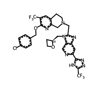 FC(F)(F)c1nnc(-c2cc3nc(CN4CCc5cc(C(F)(F)F)c(OCc6ccc(Cl)cc6)nc5C4)n(C[C@@H]4CCO4)c3cn2)[nH]1